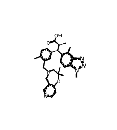 Cc1ccc([C@H](c2ccc3c(nnn3C)c2C)[C@H](C)C(=O)O)cc1CN1Cc2cnccc2OC(C)(C)C1